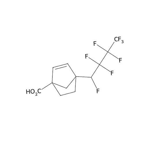 O=C(O)C12C=CC(C(F)C(F)(F)C(F)(F)C(F)(F)F)(CC1)C2